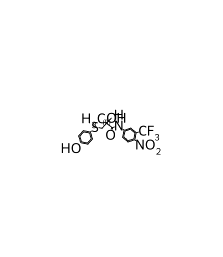 C[C@](O)(CSc1ccc(O)cc1)C(=O)Nc1ccc([N+](=O)[O-])c(C(F)(F)F)c1